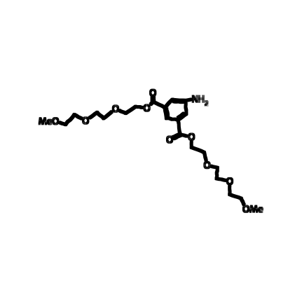 COCCOCCOCCOC(=O)c1cc(N)cc(C(=O)OCCOCCOCCOC)c1